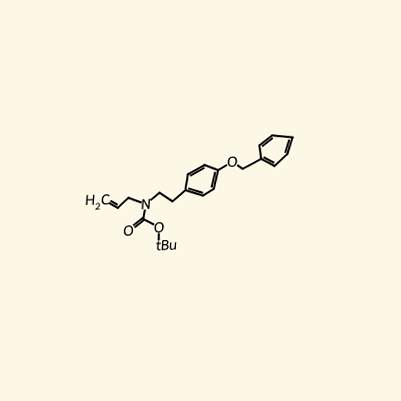 C=CCN(CCc1ccc(OCc2ccccc2)cc1)C(=O)OC(C)(C)C